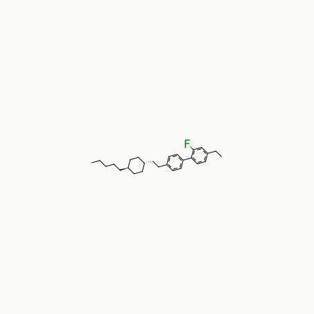 CCCCC[C@H]1CC[C@H](CCc2ccc(-c3ccc(CC)cc3F)cc2)CC1